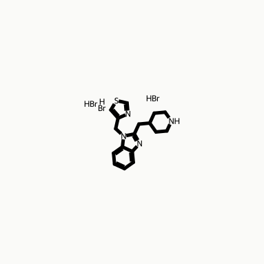 Br.Br.Br.c1ccc2c(c1)nc(CC1CCNCC1)n2Cc1cscn1